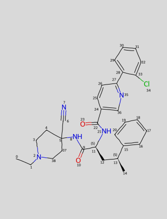 CCN1CCC(C#N)(NC(=O)[C@H](C[C@H](C)c2ccccc2)NC(=O)c2ccc(-c3ccccc3Cl)nc2)CC1